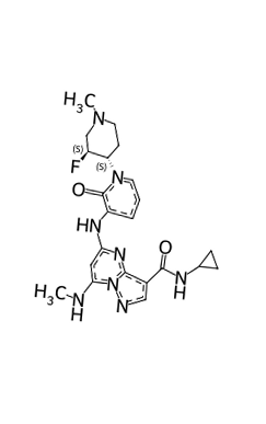 CNc1cc(Nc2cccn([C@H]3CCN(C)C[C@@H]3F)c2=O)nc2c(C(=O)NC3CC3)cnn12